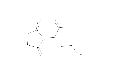 CSCC[C@@H](C(=O)O)N1C(=O)CCC1=O